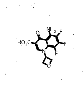 Nc1c(F)c(F)c(F)c2c1c(=O)c(C(=O)O)cn2C1COC1